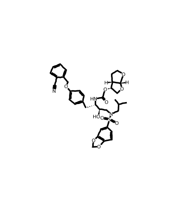 CC(C)CN(C[C@@H](O)[C@H](Cc1ccc(OCc2ccccc2C#N)cc1)NC(=O)O[C@H]1CO[C@H]2OCC[C@H]21)S(=O)(=O)c1ccc2c(c1)OCO2